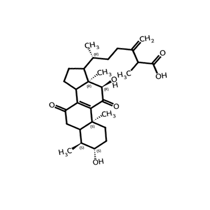 C=C(CC[C@@H](C)C1CCC2C3=C(C(=O)[C@H](O)[C@@]21C)[C@@]1(C)CC[C@H](O)[C@@H](C)C1CC3=O)C(C)C(=O)O